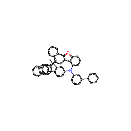 CC1(C)c2ccccc2-c2ccc(N(c3cccc(-c4ccccc4)c3)c3cccc4oc5c6ccccc6c(-c6ccc7ccccc7c6)cc5c34)cc21